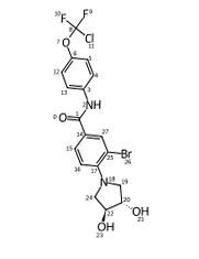 O=C(Nc1ccc(OC(F)(F)Cl)cc1)c1ccc(N2C[C@H](O)[C@@H](O)C2)c(Br)c1